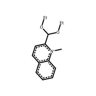 CCOC(OCC)c1ccc2ccccc2[n+]1C